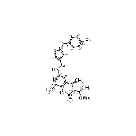 CO[C@H](C)[C@H]1C(=O)Nc2c(cc(NCc3cnn(Cc4ccc(F)cc4)c3)nc2C)N1C